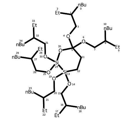 CCCCC(CC)COC1(OCC(CC)CCCC)CC[Si](OCC(CC)CCCC)(OCC(CC)CCCC)[Si](OCC(CC)CCCC)(OCC(CC)CCCC)O1